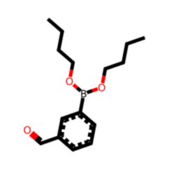 CCCCOB(OCCCC)c1cccc(C=O)c1